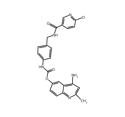 Cc1cc(N)c2cc(OC(=O)Nc3ccc(CNC(=O)c4ccc(Cl)nc4)cc3)ccc2n1